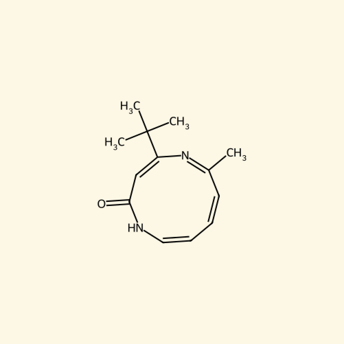 Cc1cccc[nH]c(=O)cc(C(C)(C)C)n1